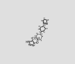 O=C(O)c1[nH]nnc1O[C@H]1CC[C@H](c2ccc(-n3cccn3)cc2)CC1